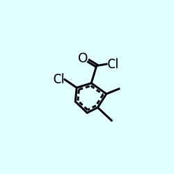 Cc1ccc(Cl)c(C(=O)Cl)c1C